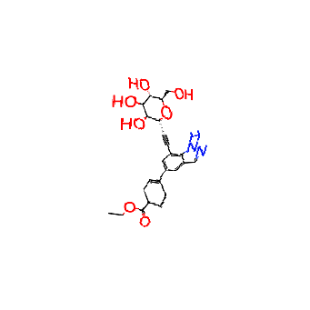 CCOC(=O)C1CC=C(c2cc(C#C[C@H]3O[C@H](CO)[C@@H](O)[C@H](O)[C@@H]3O)c3[nH]ncc3c2)CC1